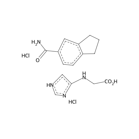 Cl.Cl.NC(=O)c1ccc2c(c1)CCC2.O=C(O)CNc1c[nH]cn1